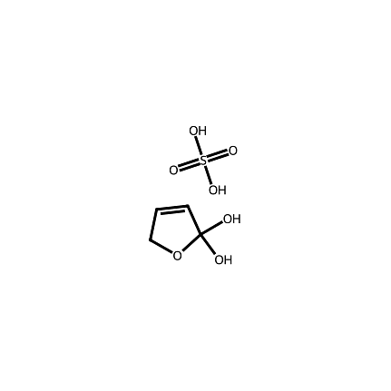 O=S(=O)(O)O.OC1(O)C=CCO1